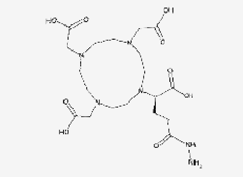 NNC(=O)CC[C@H](C(=O)O)N1CCN(CC(=O)O)CCN(CC(=O)O)CCN(CC(=O)O)CC1